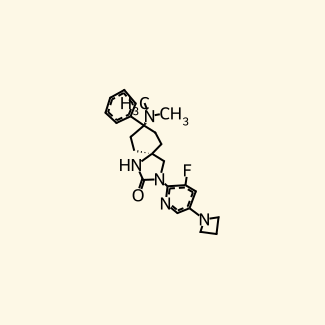 CN(C)[C@]1(c2ccccc2)CC[C@]2(CC1)CN(c1ncc(N3CCC3)cc1F)C(=O)N2